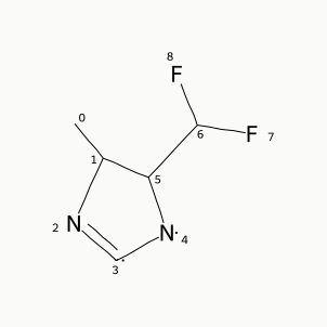 CC1N=[C][N]C1C(F)F